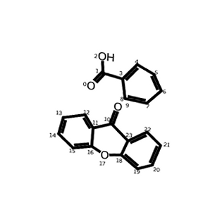 O=C(O)c1ccccc1.O=c1c2ccccc2oc2ccccc12